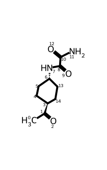 CC(=O)[C@H]1CC[C@H](NC(=O)C(N)=O)CC1